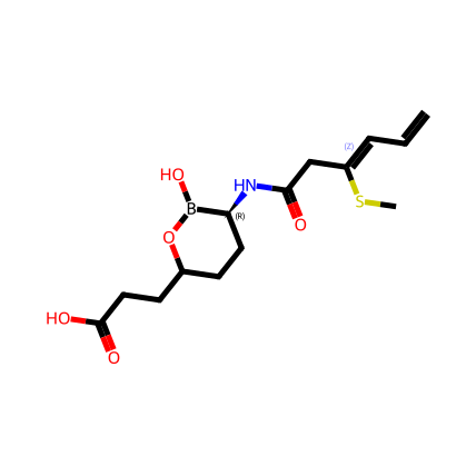 C=C/C=C(/CC(=O)N[C@H]1CCC(CCC(=O)O)OB1O)SC